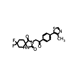 Cc1ncsc1-c1ccc(C(=O)CN2C(=O)NC3(CCC(F)(F)CC3)C2=O)cc1